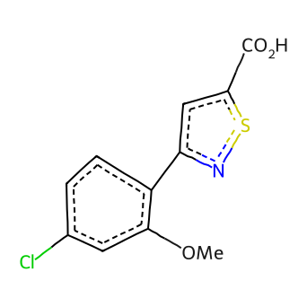 COc1cc(Cl)ccc1-c1cc(C(=O)O)sn1